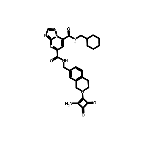 Nc1c(N2CCc3ccc(CNC(=O)c4cc(C(=O)NCC5CCCCC5)n5ncnc5n4)cc3C2)c(=O)c1=O